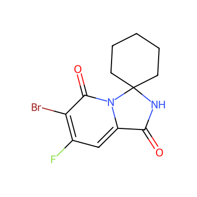 O=C1NC2(CCCCC2)n2c1cc(F)c(Br)c2=O